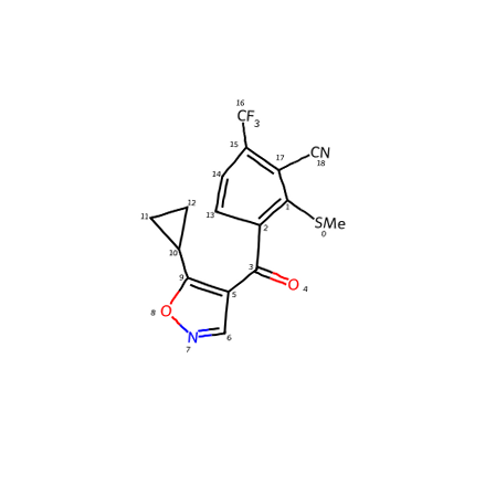 CSc1c(C(=O)c2cnoc2C2CC2)ccc(C(F)(F)F)c1C#N